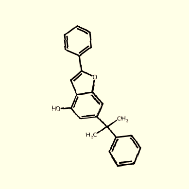 CC(C)(c1ccccc1)c1cc(O)c2cc(-c3ccccc3)oc2c1